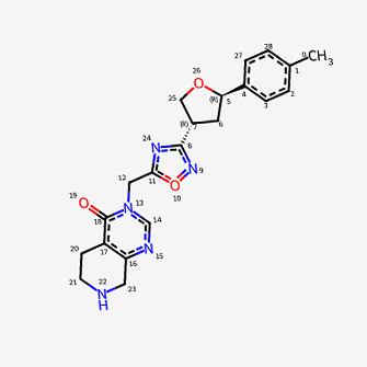 Cc1ccc([C@H]2C[C@H](c3noc(Cn4cnc5c(c4=O)CCNC5)n3)CO2)cc1